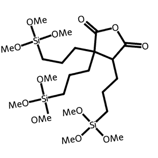 CO[Si](CCCC1C(=O)OC(=O)C1(CCC[Si](OC)(OC)OC)CCC[Si](OC)(OC)OC)(OC)OC